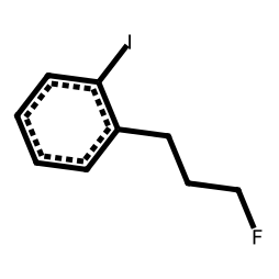 FCCCc1ccccc1I